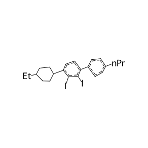 CCCc1ccc(-c2ccc(C3CCC(CC)CC3)c(I)c2I)cc1